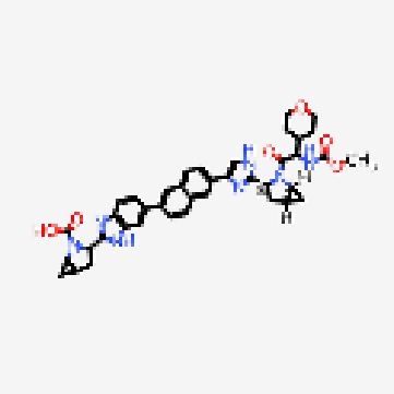 COC(=O)NC(C(=O)N1[C@@H]2C[C@@H]2C[C@H]1c1nc(-c2ccc3cc(-c4ccc5nc(C6CC7CC7N6C(=O)O)[nH]c5c4)ccc3c2)c[nH]1)C1CCOCC1